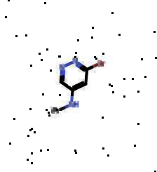 CC(C)Nc1cnnc(Br)c1